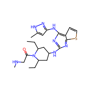 CCC1CC(Nc2nc(Nc3cc(C)[nH]n3)c3ccsc3n2)CC(CC)N1C(=O)CNC